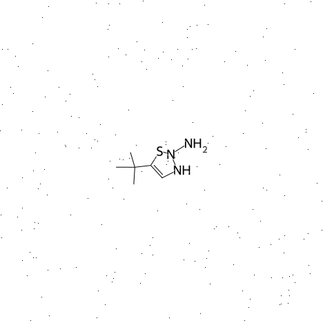 CC(C)(C)C1=CNN(N)S1